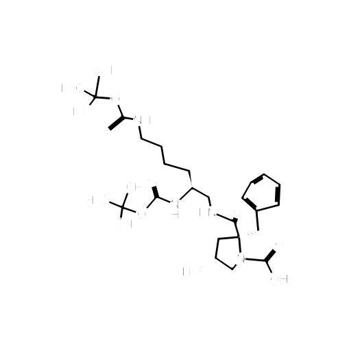 CC(C)(C)OC(=O)NCCCC[C@@H](CNC(=O)[C@]1(Cc2ccccc2)C[C@@H](O)CN1C(=O)O)NC(=O)OC(C)(C)C